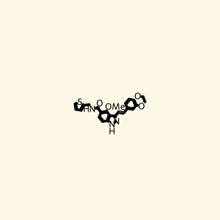 COc1c(C(=O)NCc2cccs2)ccc2[nH]nc(/C=C/c3ccc4c(c3)OCCO4)c12